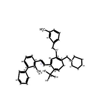 Cc1cccc(COC2=C(CN3CCCCC3)CC=C(C(F)(F)F)C(/C=C/c3cccc(-c4ccccc4)c3C)=C2)c1